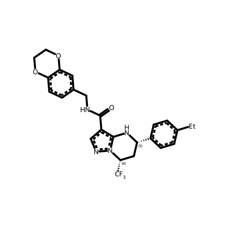 CCc1ccc([C@@H]2C[C@H](C(F)(F)F)n3ncc(C(=O)NCc4ccc5c(c4)OCCO5)c3N2)cc1